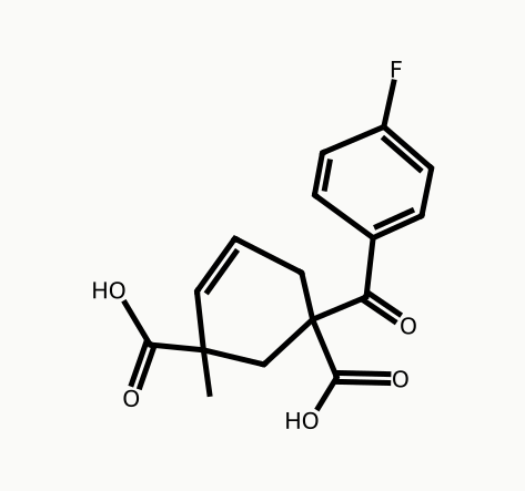 CC1(C(=O)O)C=CCC(C(=O)O)(C(=O)c2ccc(F)cc2)C1